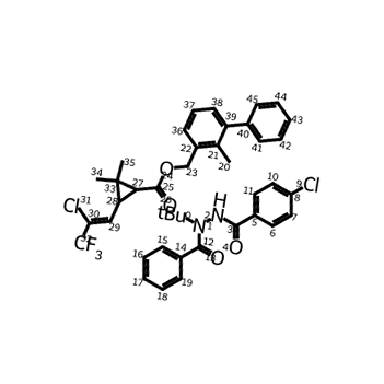 CC(C)(C)N(NC(=O)c1ccc(Cl)cc1)C(=O)c1ccccc1.Cc1c(COC(=O)C2C(/C=C(\Cl)C(F)(F)F)C2(C)C)cccc1-c1ccccc1